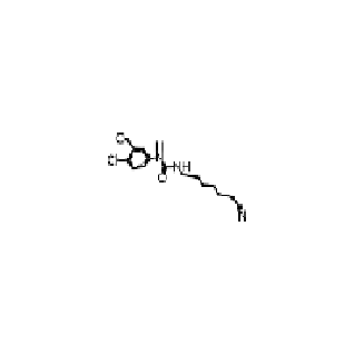 N#CCCCCCCNC(=O)Nc1ccc(Cl)c(Cl)c1